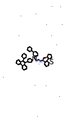 C=C/C(=C\C=C\N(C1=CC=CC(c2ccccc2)C1)c1ccc(-c2c(-c3ccccc3)c3ccccc3c3ccccc23)cc1)c1cccc2sc3ccccc3c12